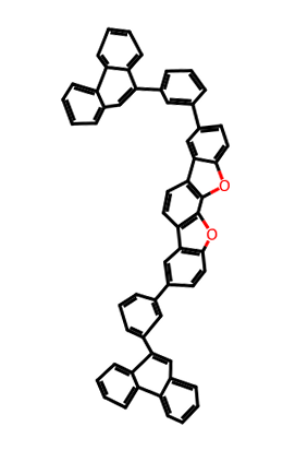 c1cc(-c2ccc3oc4c(ccc5c6cc(-c7cccc(-c8cc9ccccc9c9ccccc89)c7)ccc6oc54)c3c2)cc(-c2cc3ccccc3c3ccccc23)c1